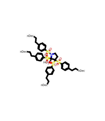 CCCCCCCCCCCCc1ccc(S(=O)(=O)N2CCC(S(=O)(=O)c3ccc(CCCCCCCCCCCC)cc3)(S(=O)(=O)c3ccc(CCCCCCCCCCCC)cc3)C2(C(=O)O)S(=O)(=O)c2ccc(CCCCCCCCCCCC)cc2)cc1